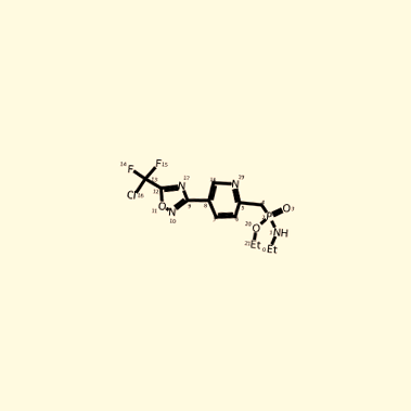 CCNP(=O)(Cc1ccc(-c2noc(C(F)(F)Cl)n2)cn1)OCC